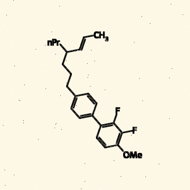 CC=CC(CCC)CCCc1ccc(-c2ccc(OC)c(F)c2F)cc1